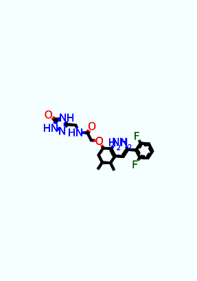 CC1CC(OCC(=O)NCc2n[nH]c(=O)[nH]2)C(N)=C(/C=C(\N)c2c(F)cccc2F)C1C